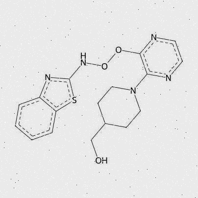 OCC1CCN(c2nccnc2OONc2nc3ccccc3s2)CC1